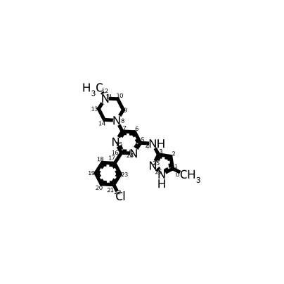 Cc1cc(Nc2cc(N3CCN(C)CC3)nc(-c3cccc(Cl)c3)n2)n[nH]1